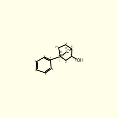 OC1C[N+]2(c3ccccc3)CCC1CC2